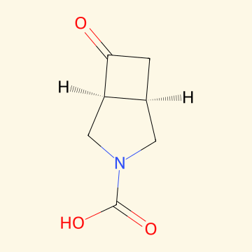 O=C1C[C@H]2CN(C(=O)O)C[C@@H]12